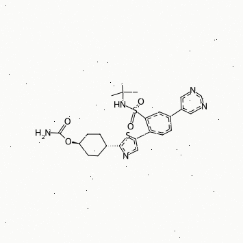 CC(C)(C)NS(=O)(=O)c1cc(-c2cncnc2)ccc1-c1cnc([C@H]2CC[C@H](OC(N)=O)CC2)s1